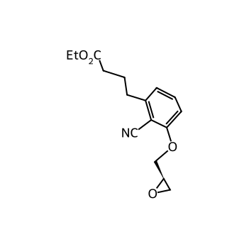 CCOC(=O)CCCc1cccc(OC[C@H]2CO2)c1C#N